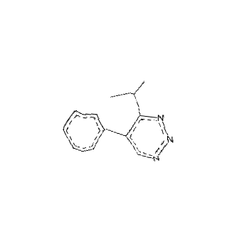 CC(C)c1nnncc1-c1ccccc1